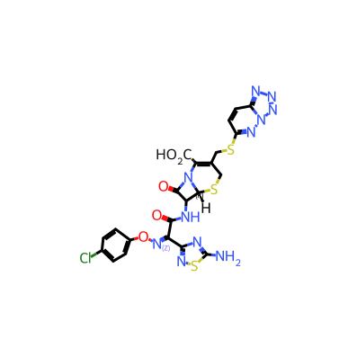 Nc1nc(/C(=N/Oc2ccc(Cl)cc2)C(=O)NC2C(=O)N3C(C(=O)O)=C(CSc4ccc5nnnn5n4)CS[C@H]23)ns1